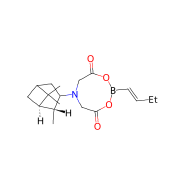 CC/C=C/B1OC(=O)CN(C2CC3C[C@H]([C@H]2C)C3(C)C)CC(=O)O1